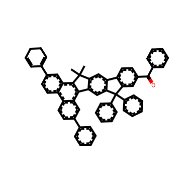 CC1(C)c2cc3c(cc2-c2c1c1cc(C4=CCCC=C4)ccc1c1ccc(-c4ccccc4)cc21)C(c1ccccc1)(c1ccccc1)c1cc(C(=O)c2ccccc2)ccc1-3